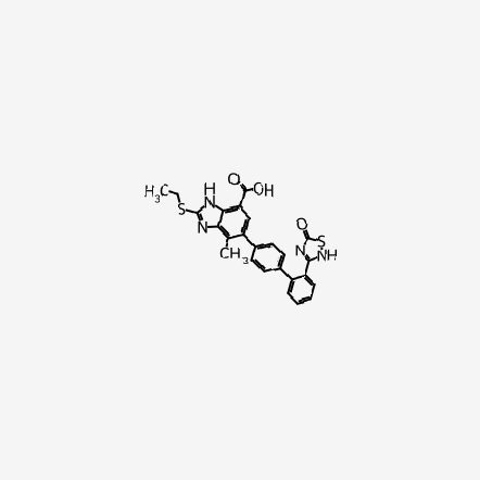 CCSc1nc2c(C)c(-c3ccc(-c4ccccc4-c4nc(=O)s[nH]4)cc3)cc(C(=O)O)c2[nH]1